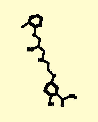 Cc1cccnc1OCC(O)CNCCOc1ccc(O)c(C(N)=O)c1